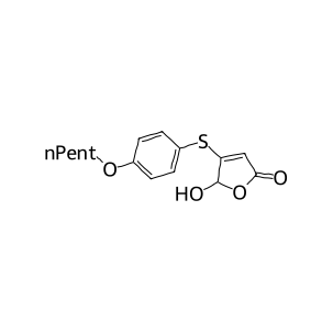 CCCCCOc1ccc(SC2=CC(=O)OC2O)cc1